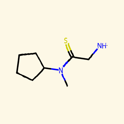 CN(C(=S)C[NH])C1CCCC1